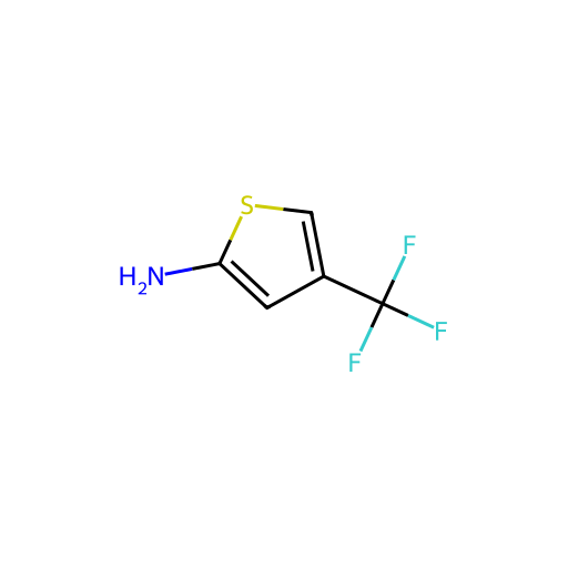 Nc1cc(C(F)(F)F)cs1